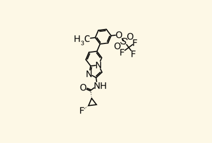 Cc1ccc(OS(=O)(=O)C(F)(F)F)cc1-c1ccc2nc(NC(=O)[C@@H]3C[C@@H]3F)cn2c1